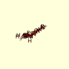 CCN(C)S(=O)(=O)Nc1ccc(F)c(C(=O)c2c[nH]c3ncc(-c4cnc(N5CCN(C(=O)CN6CC7(C6)CN(c6ccc([N+](=O)[O-])cc6)C7)CC5)nc4)cc23)c1F